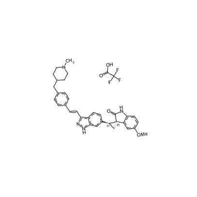 COc1ccc2c(c1)[C@]1(C[C@H]1c1ccc3c(C=Cc4ccc(CC5CCN(C)CC5)cc4)n[nH]c3c1)C(=O)N2.O=C(O)C(F)(F)F